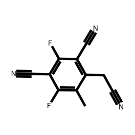 Cc1c(F)c(C#N)c(F)c(C#N)c1CC#N